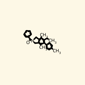 CCc1c(C)c2c(c(C)c1-c1ccc(C)cc1)CN(C(=O)c1ccccc1)C2